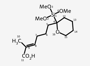 CO[Si](OC)(OC)C1(CCCC=C(C)C(=O)O)CCCCO1